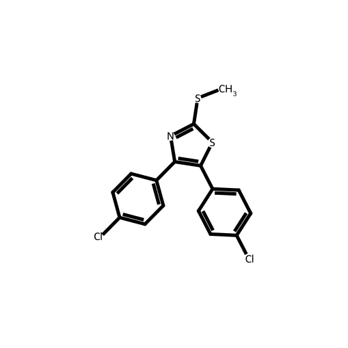 CSc1nc(-c2ccc(Cl)cc2)c(-c2ccc(Cl)cc2)s1